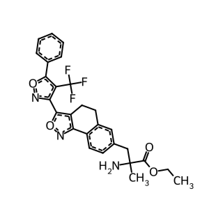 CCOC(=O)C(C)(N)Cc1ccc2c(c1)CCc1c-2noc1-c1noc(-c2ccccc2)c1C(F)(F)F